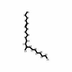 [CH2]CCC/C=C/CCCCCCC(C)CCCCCCC[CH2]